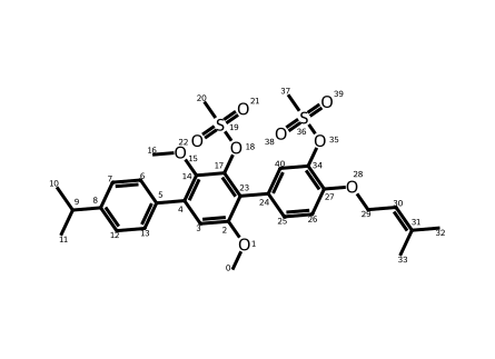 COc1cc(-c2ccc(C(C)C)cc2)c(OC)c(OS(C)(=O)=O)c1-c1ccc(OCC=C(C)C)c(OS(C)(=O)=O)c1